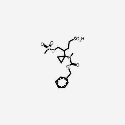 CN(C(=O)OCc1ccccc1)C1(C(CCS(=O)(=O)O)COS(C)(=O)=O)CC1